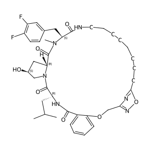 CC(C)C[C@H]1NC(=O)c2ccccc2OCc2noc(n2)CCCCCCCCNC(=O)[C@H](Cc2ccc(F)c(F)c2)N(C)C(=O)[C@H]2C[C@H](O)CN2C1=O